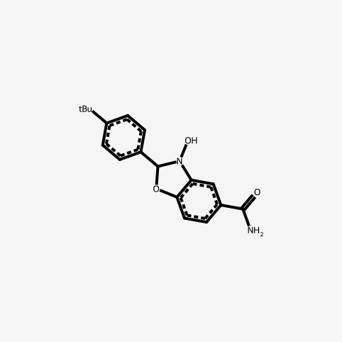 CC(C)(C)c1ccc(C2Oc3ccc(C(N)=O)cc3N2O)cc1